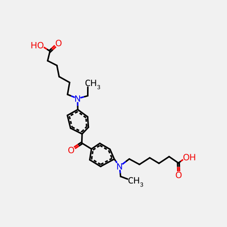 CCN(CCCCCC(=O)O)c1ccc(C(=O)c2ccc(N(CC)CCCCCC(=O)O)cc2)cc1